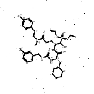 CCOP(=O)(OCC)C(O)[C@H](CCC(=O)N(C)CCc1ccc(Cl)cc1)NC(=O)[C@H](CC1CCCCC1)NC(=O)OCc1cccc(Cl)c1